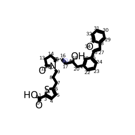 O=C(O)c1ccc(CCCN2C(=O)CC[C@@H]2/C=C/[C@@H](O)Cc2cccc(-c3cc4ccccc4o3)c2)s1